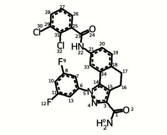 NC(=O)c1nn(-c2cc(F)cc(F)c2)c2c1CCc1ccc(NC(=O)c3cccc(Cl)c3Cl)cc1-2